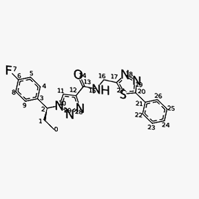 CC[C@@H](c1ccc(F)cc1)n1cc(C(=O)NCc2nnc(-c3ccccc3)s2)nn1